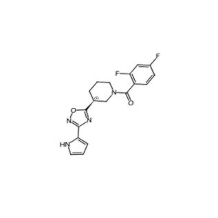 O=C(c1ccc(F)cc1F)N1CCC[C@H](c2nc(-c3ccc[nH]3)no2)C1